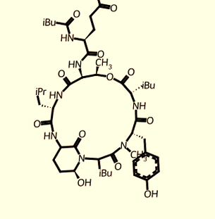 CCC(C)C(=O)N[C@@H](CCC(N)=O)C(=O)N[C@@H]1C(=O)N[C@@H](CC(C)C)C(=O)NC2CC[C@H](O)N(C2=O)C(C(C)CC)C(=O)N(C)[C@@H](Cc2ccc(O)cc2)C(=O)N[C@@H](C(C)CC)C(=O)O[C@@H]1C